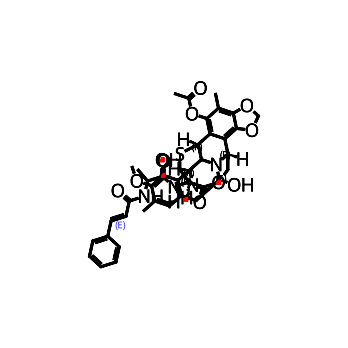 COc1c(C)cc2c(c1O)[C@@H]1C3[C@@H]4SC[C@H](NC(=O)C(C)NC(=O)/C=C/c5ccccc5)C(=O)OC[C@@H](c5c6c(c(C)c(OC(C)=O)c54)OCO6)N3[C@@H](O)C(C2)N1C